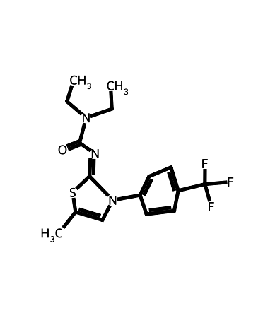 CCN(CC)C(=O)N=c1sc(C)cn1-c1ccc(C(F)(F)F)cc1